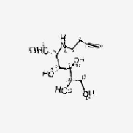 C#CCCN[C@@H](C=O)[C@@H](O)[C@@H](O)[C@H](O)CO